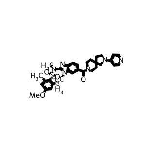 COc1cc(C)c(S(=O)(=O)N(C)c2nc3ccc(C(=O)N4CCC5(CC4)CCN(c4ccncc4)C5)cc3n2C)c(C)c1